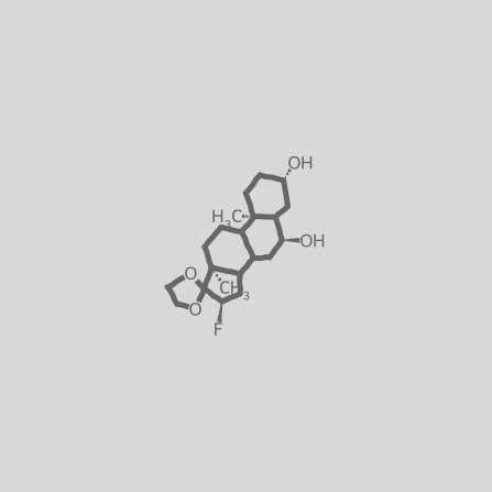 C[C@]12CC[C@H](O)CC1[C@@H](O)CC1C2CC[C@@]2(C)C1C[C@@H](F)C21OCCO1